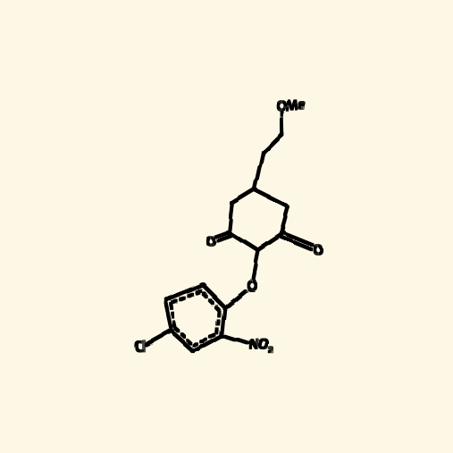 COCCC1CC(=O)C(Oc2ccc(Cl)cc2[N+](=O)[O-])C(=O)C1